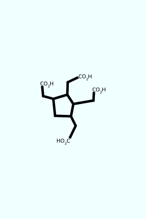 O=C(O)CC1CC(CC(=O)O)C(CC(=O)O)C1CC(=O)O